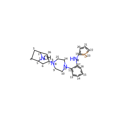 CN1C2CCC1CC(N1CCN(c3ccccc3Nc3cccs3)CC1)C2